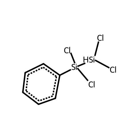 Cl[SiH](Cl)[Si](Cl)(Cl)c1ccccc1